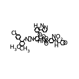 CC1(C)CCC(CN2CCN(c3ccc(C(=O)NS(=O)(=O)c4ccc(NCC5CCOCC5)c([N+](=O)[O-])c4)c(Oc4ccccc4-c4cccnc4N)c3)CC2)=C(c2ccc(Cl)cc2)C1